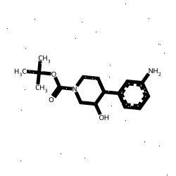 CC(C)(C)OC(=O)N1CCC(c2cccc(N)c2)C(O)C1